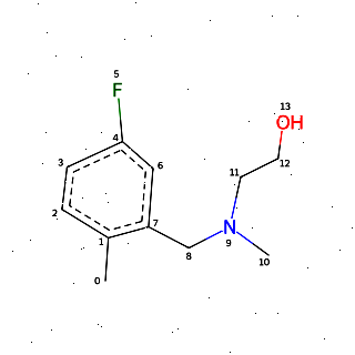 Cc1ccc(F)cc1CN(C)CCO